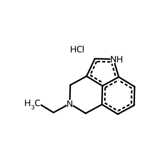 CCN1Cc2cccc3[nH]cc(c23)C1.Cl